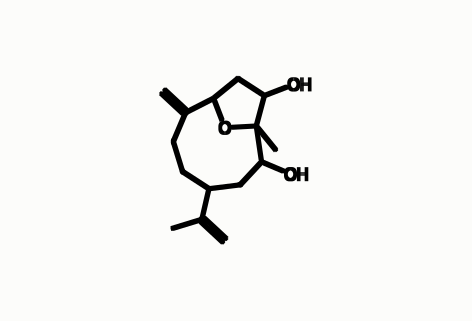 C=C(C)C1CCC(=C)C2CC(O)C(C)(O2)C(O)C1